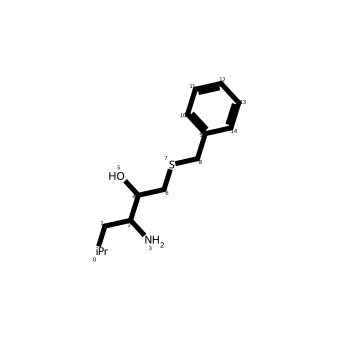 CC(C)CC(N)C(O)CSCc1ccccc1